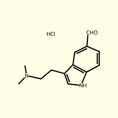 CN(C)CCc1c[nH]c2ccc(C=O)cc12.Cl